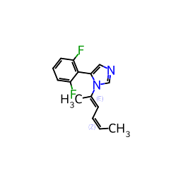 C/C=C\C=C(/C)n1cncc1-c1c(F)cccc1F